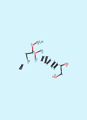 C=C.C=C.C=C.C=C.C=C.C=C.CC(C)CCOS(=O)(=O)O.CCOCC.OCCO